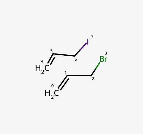 C=CCBr.C=CCI